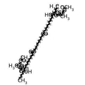 CCCCCC(OC(=O)C[N+](C)(C)CCOC(C)=O)C(O)CCCCCCCCCCC(=O)OCCCCCCCCCCOC(=O)CCCCCCCCCCC(O)C(CCCCC)OC(=O)C[N+](C)(C)CCOC(C)=O